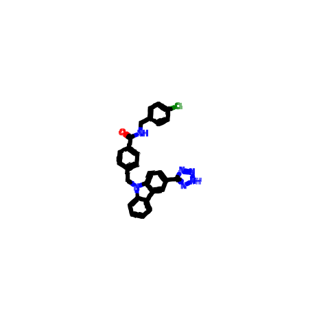 O=C(NCc1ccc(Cl)cc1)c1ccc(Cn2c3ccccc3c3cc(-c4nn[nH]n4)ccc32)cc1